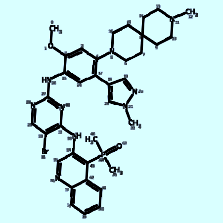 COc1cc(N2CCC3(CCN(C)CC3)CC2)c(-c2cnn(C)c2)cc1Nc1ncc(Br)c(Nc2cnc3ccccc3c2P(C)(C)=O)n1